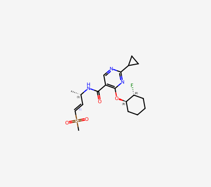 C[C@@H](/C=C/S(C)(=O)=O)NC(=O)c1cnc(C2CC2)nc1O[C@@H]1CCCC[C@H]1F